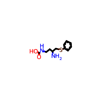 NC(CCNC(=O)O)CSc1ccccc1